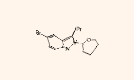 CC(C)c1c2cc(Br)ccc2nn1C1CCCCO1